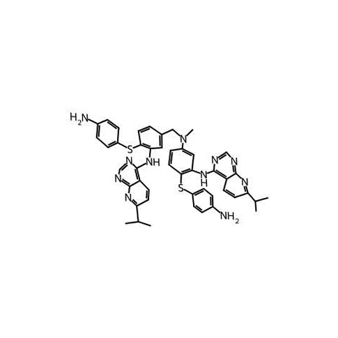 CC(C)c1ccc2c(Nc3cc(CN(C)c4ccc(Sc5ccc(N)cc5)c(Nc5ncnc6nc(C(C)C)ccc56)c4)ccc3Sc3ccc(N)cc3)ncnc2n1